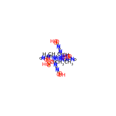 CCCOc1cc(N=Nc2ccc(N=Nc3ccccc3)cc2S(=O)(=O)O)c(C)cc1Nc1nc(Nc2ccc(N=Nc3ccc(N=Nc4ccc(S(=O)(=O)O)cc4)cc3)c(C)c2)nc(N2CCN(c3nc(Cc4ccc(N=Nc5ccc(N=Nc6ccccc6)cc5S(=O)(=O)O)c(C)c4)nc(Cc4cc(C)c(N=Nc5ccc(N=Nc6ccc(S(=O)(=O)O)cc6)cc5)cc4OCCCS(=O)(=O)O)n3)CC2)n1